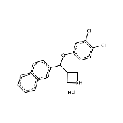 Cl.Clc1ccc(OC(c2ccc3ccccc3c2)C2CNC2)cc1Cl